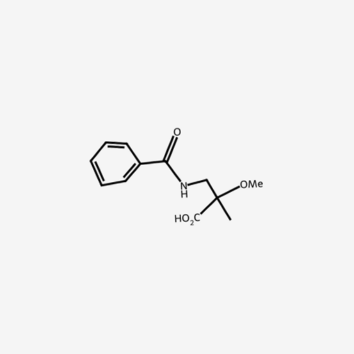 COC(C)(CNC(=O)c1ccccc1)C(=O)O